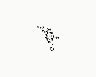 CCCSc1nc(NC2CC2c2ccccc2)c2nnn([C@@H]3C[C@H](C(=O)COC)[C@@H](O)[C@H]3O)c2n1